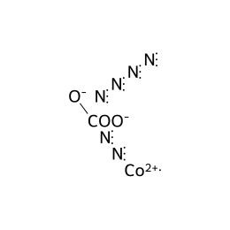 O=C([O-])[O-].[Co+2].[N].[N].[N].[N].[N].[N]